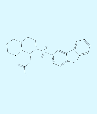 O=C(O)OC1C2CCCCC2CCN1S(=O)(=O)c1ccc2oc3ccccc3c2c1